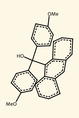 COc1ccc(C(O)(c2ccc(OC)cc2)c2c3ccccc3cc3ccccc23)cc1